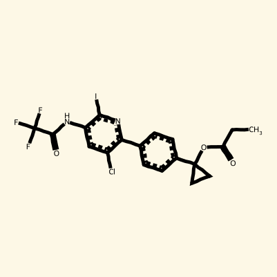 CCC(=O)OC1(c2ccc(-c3nc(I)c(NC(=O)C(F)(F)F)cc3Cl)cc2)CC1